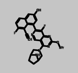 C#Cc1c(F)ccc2cc(O)cc(-c3ncc4c(N5CC6CCC(C5)N6)nc(OCCC)nc4c3F)c12